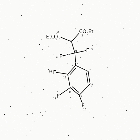 CCOC(=O)C(C(=O)OCC)C(F)(F)c1ccc(F)c(F)c1F